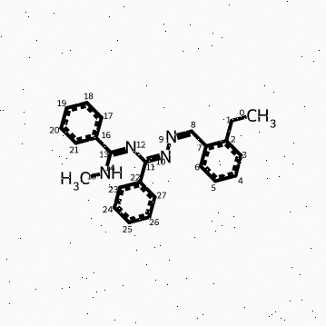 CCc1ccccc1\C=N/N=C(\N=C(/NC)c1ccccc1)c1ccccc1